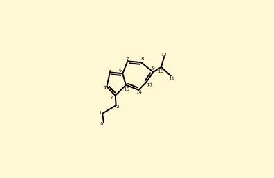 CCCc1ccc2ccc(C(C)C)ccc1-2